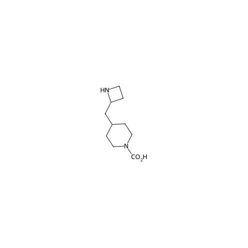 O=C(O)N1CCC(CC2CCN2)CC1